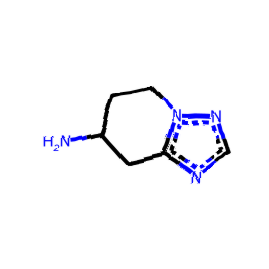 NC1CCn2ncnc2C1